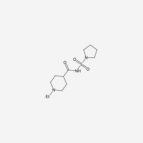 CCN1CCC(C(=O)NS(=O)(=O)N2CCCC2)CC1